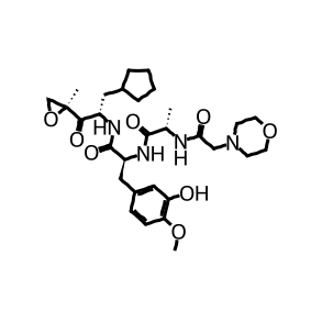 COc1ccc(C[C@H](NC(=O)[C@H](C)NC(=O)CN2CCOCC2)C(=O)N[C@@H](CC2CCCC2)C(=O)[C@]2(C)CO2)cc1O